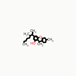 CCCCCC(C)C(CC)c1cc(O)c2c(c1)OC1=C(CCC(C)C1)C2C